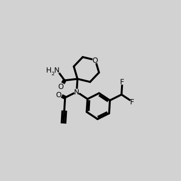 C#CC(=O)N(c1cccc(C(F)F)c1)C1(C(N)=O)CCOCC1